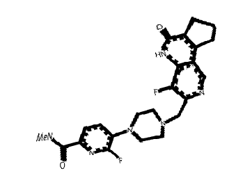 CNC(=O)c1ccc(N2CCN(Cc3ncc4c5c(c(=O)[nH]c4c3F)CCC5)CC2)c(F)n1